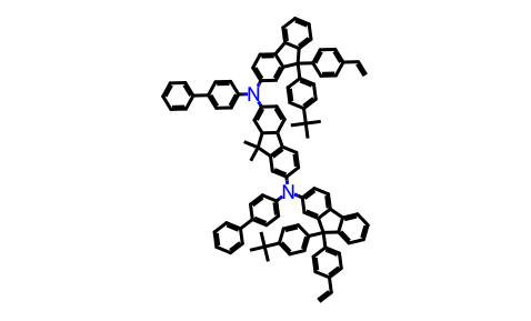 C=Cc1ccc(C2(c3ccc(C(C)(C)C)cc3)c3ccccc3-c3ccc(N(C4=CC5C(C=C4)c4ccc(N(c6ccc(-c7ccccc7)cc6)c6ccc7c(c6)C(c6ccc(C=C)cc6)(c6ccc(C(C)(C)C)cc6)c6ccccc6-7)cc4C5(C)C)c4ccc(-c5ccccc5)cc4)cc32)cc1